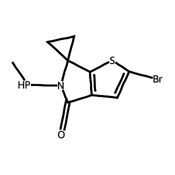 CPN1C(=O)c2cc(Br)sc2C12CC2